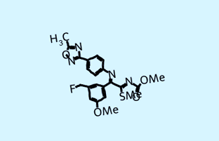 COC(=O)N=C(SC)C(=Nc1ccc(-c2noc(C)n2)cc1)c1cc(CF)cc(OC)c1